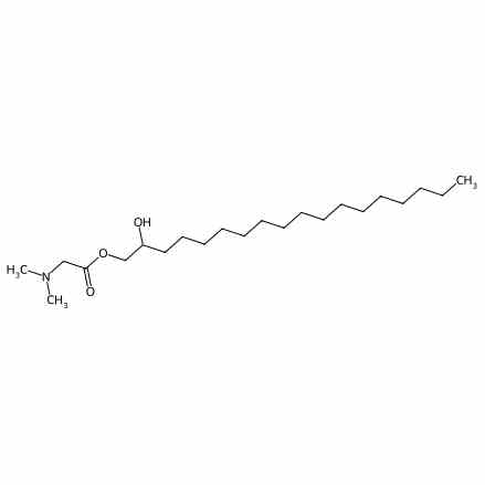 CCCCCCCCCCCCCCCCC(O)COC(=O)CN(C)C